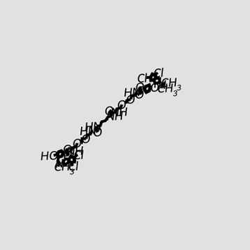 CN(C)[C@H]1Cc2c(Cl)cc(Cl)cc2[C@@H]1Oc1ccc(S(=O)(=O)NCCOCCOCCNC(=O)NCCCCNC(=O)NCCOCCOCCNS(=O)(=O)c2ccc(O)c(CN(C)[C@@H]3Cc4cc(Cl)cc(Cl)c4C3)c2)cc1